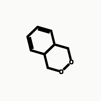 C1=CC2COOCC2C=C1